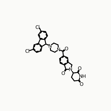 O=C1CCC(N2Cc3cc(C(=O)N4CCN(C5c6ccc(Cl)cc6-c6cc(Cl)ccc65)CC4)ccc3C2=O)C(=O)N1